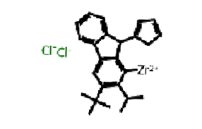 CC(C)c1c(C(C)(C)C)cc2c([c]1[Zr+2])C(C1=CC=CC1)c1ccccc1-2.[Cl-].[Cl-]